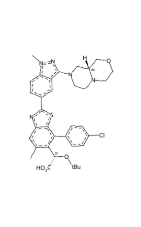 Cc1cc2nc(-c3ccc4c(c3)c(N3CCN5CCOC[C@H]5C3)nn4C)sc2c(-c2ccc(Cl)cc2)c1[C@H](OC(C)(C)C)C(=O)O